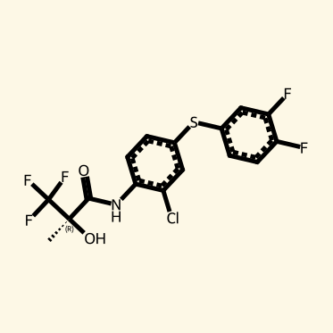 C[C@@](O)(C(=O)Nc1ccc(Sc2ccc(F)c(F)c2)cc1Cl)C(F)(F)F